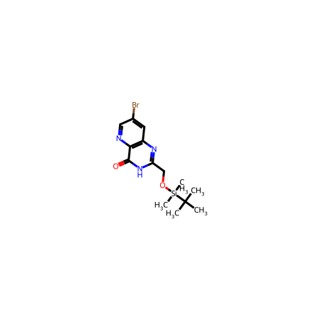 CC(C)(C)[Si](C)(C)OCc1nc2cc(Br)cnc2c(=O)[nH]1